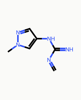 C=NC(=N)Nc1cnn(C)c1